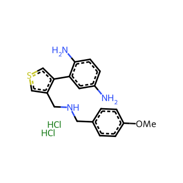 COc1ccc(CNCc2cscc2-c2cc(N)ccc2N)cc1.Cl.Cl